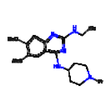 COc1cc2nc(NCC(C)(C)C)nc(NC3CCN(C(C)C)CC3)c2cc1OC